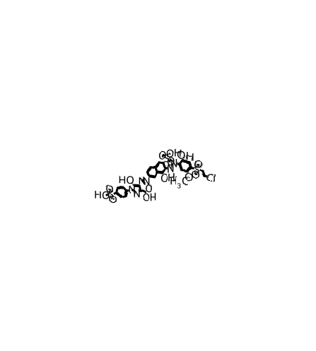 COc1cc(/N=N/c2c(S(=O)(=O)O)cc3ccc(/N=N/c4c(C(=O)O)nn(-c5ccc(S(=O)(=O)O)cc5)c4O)cc3c2O)c(O)cc1S(=O)(=O)CCCl